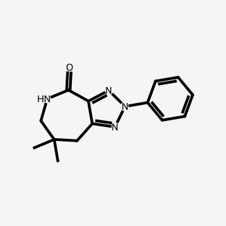 CC1(C)CNC(=O)c2nn(-c3ccccc3)nc2C1